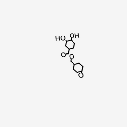 O=C(OCC1CCC2OC2C1)C1CCC(O)C(O)C1